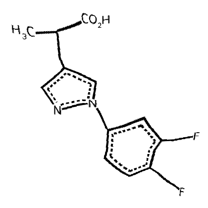 CC(C(=O)O)c1cnn(-c2ccc(F)c(F)c2)c1